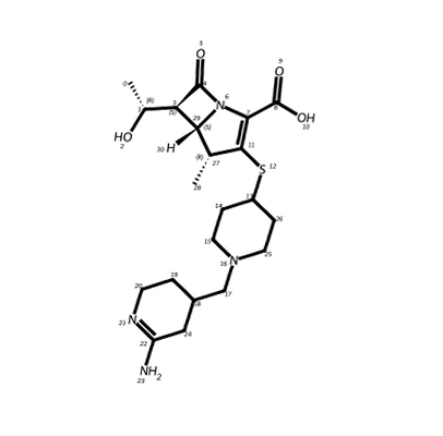 C[C@@H](O)[C@H]1C(=O)N2C(C(=O)O)=C(SC3CCN(CC4CCN=C(N)C4)CC3)[C@H](C)[C@H]12